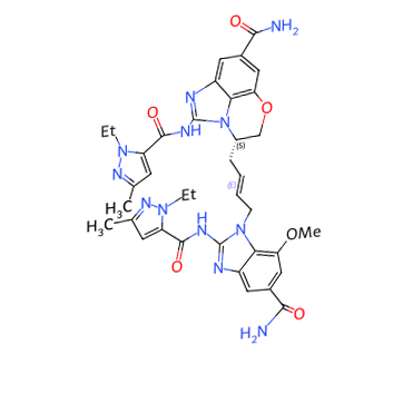 CCn1nc(C)cc1C(=O)Nc1nc2cc(C(N)=O)cc(OC)c2n1C/C=C/C[C@H]1COc2cc(C(N)=O)cc3nc(NC(=O)c4cc(C)nn4CC)n1c23